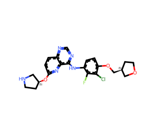 Fc1c(Nc2ncnc3ccc(O[C@H]4CCNC4)nc23)ccc(OC[C@H]2CCOC2)c1Cl